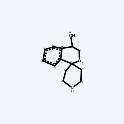 OC1COC2(CCNCC2)c2ccccc21